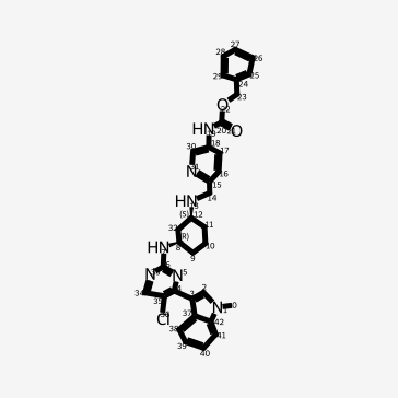 Cn1cc(-c2nc(N[C@@H]3CCC[C@H](NCc4ccc(NC(=O)OCc5ccccc5)cn4)C3)ncc2Cl)c2ccccc21